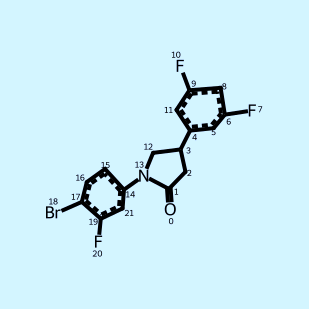 O=C1CC(c2cc(F)cc(F)c2)CN1c1ccc(Br)c(F)c1